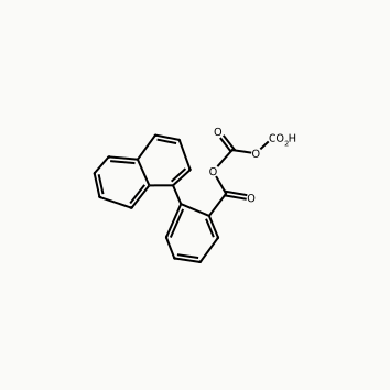 O=C(O)OC(=O)OC(=O)c1ccccc1-c1cccc2ccccc12